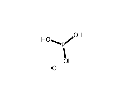 OP(O)O.[O]